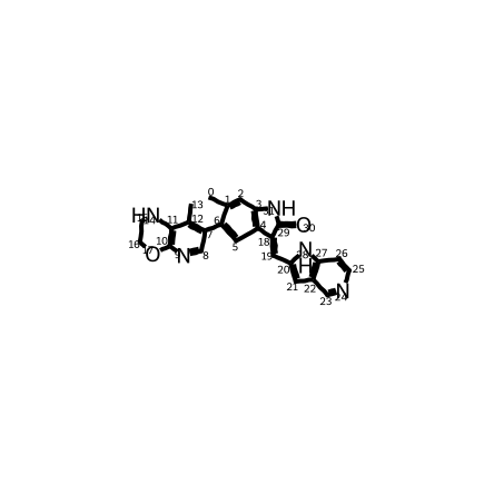 Cc1cc2c(cc1-c1cnc3c(c1C)NCCO3)C(=Cc1cc3cnccc3[nH]1)C(=O)N2